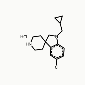 Cl.Clc1ccc2c(c1)C1(CCNCC1)CN2CC1CC1